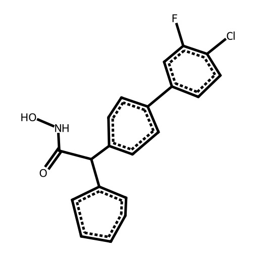 O=C(NO)C(c1ccccc1)c1ccc(-c2ccc(Cl)c(F)c2)cc1